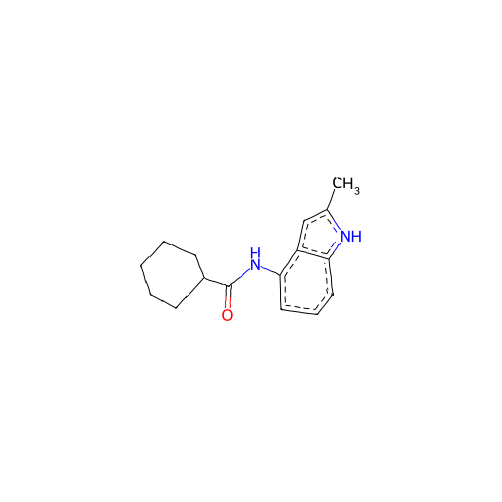 Cc1cc2c(NC(=O)C3CCCCC3)cccc2[nH]1